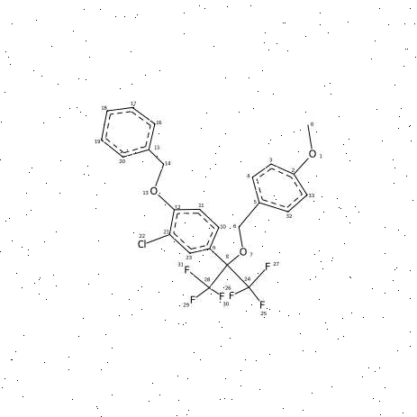 COc1ccc(COC(c2ccc(OCc3ccccc3)c(Cl)c2)(C(F)(F)F)C(F)(F)F)cc1